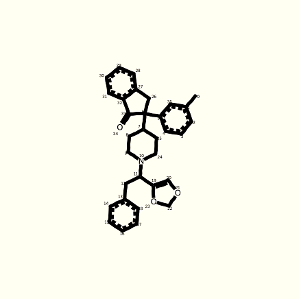 Cc1cccc(C2(C3CCN(C(Cc4ccccc4)C4=COCO4)CC3)Cc3ccccc3C2=O)c1